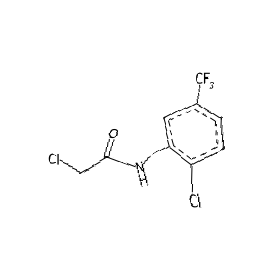 O=C(CCl)Nc1cc(C(F)(F)F)ccc1Cl